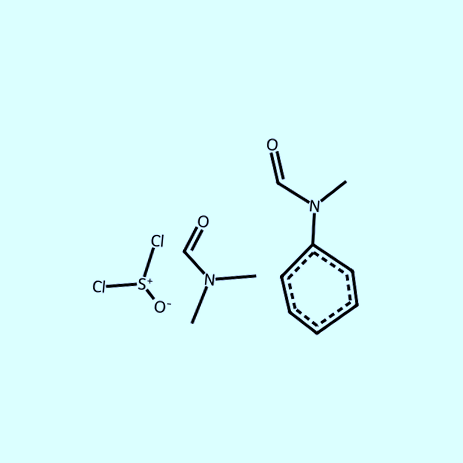 CN(C)C=O.CN(C=O)c1ccccc1.[O-][S+](Cl)Cl